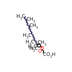 C/C=C/C(C)=C/C=C/C(C)=C/C=C/C=C(C)/C=C/C=C(C)/C=C/C1=C(C)CC(OC(=O)CCC(=O)O)CC1(C)C